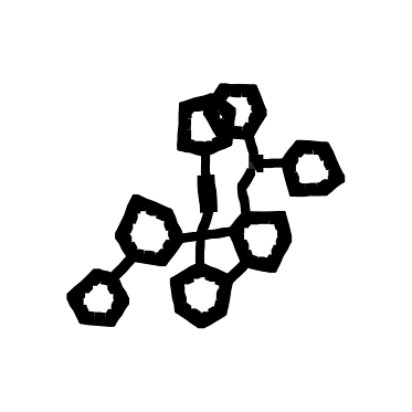 C(#CC1(c2cccc(-c3ccccc3)c2)c2ccccc2-c2cccc(CN(c3ccccc3)c3ccccc3)c21)c1ccccc1